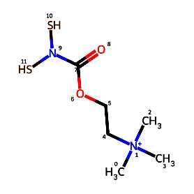 C[N+](C)(C)CCOC(=O)N(S)S